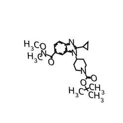 CON(C)C(=O)c1ccc2nc(C3CC3)n(C3CCN(C(=O)OC(C)(C)C)CC3)c2c1